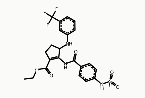 CCOC(=O)C1=C(NC(=O)c2ccc(N[SH](=O)=O)cc2)C(Nc2cccc(C(F)(F)F)c2)CC1